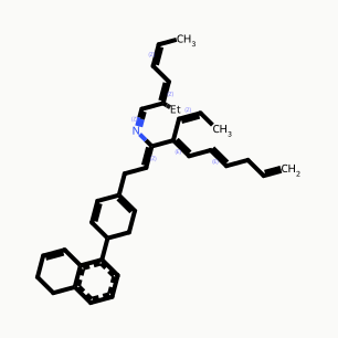 C=CC/C=C/C=C(\C=C/C)C(=C/CC1=CCC(c2cccc3c2C=CCC3)C=C1)/N=C\C(=C/C=C\C)CC